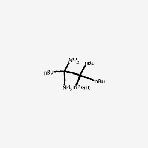 CCCCCC(CCCC)(CCCC)C(N)(N)CCCC